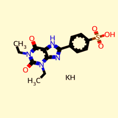 CCn1c(=O)c2[nH]c(-c3ccc(S(=O)(=O)O)cc3)nc2n(CC)c1=O.[KH]